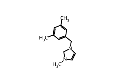 Cc1cc(C)cc(CN2C=CN(C)C2)c1